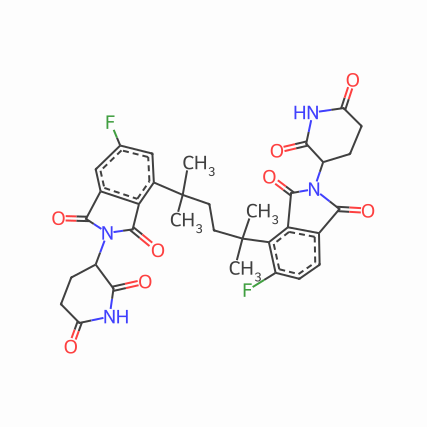 CC(C)(CCC(C)(C)c1c(F)ccc2c1C(=O)N(C1CCC(=O)NC1=O)C2=O)c1cc(F)cc2c1C(=O)N(C1CCC(=O)NC1=O)C2=O